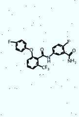 NC(=O)c1cc(NC(=O)c2c(Oc3ccc(F)cc3)cccc2C(F)(F)F)ccc1F